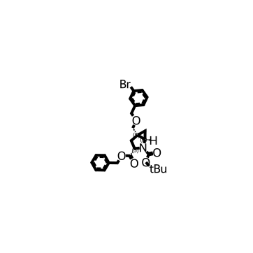 CC(C)(C)OC(=O)N1[C@H](C(=O)OCc2ccccc2)C[C@@]2(COCc3cccc(Br)c3)C[C@@H]12